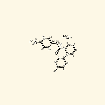 Cc1ccc(-c2ccccc2C(=O)Nc2ccc(N)cc2)cc1.Cl